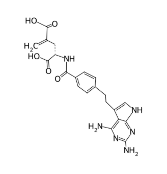 C=C(C[C@H](NC(=O)c1ccc(CCc2c[nH]c3nc(N)nc(N)c23)cc1)C(=O)O)C(=O)O